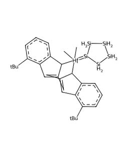 CC1=Cc2c(cccc2C(C)(C)C)[CH]1[Hf]([CH3])([CH3])([CH]1C(C)=Cc2c1cccc2C(C)(C)C)=[Si]1[SiH2][SiH2][SiH2][SiH2]1